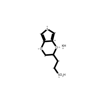 O=S(=O)(O)CCC1COc2cscc2O1.[KH]